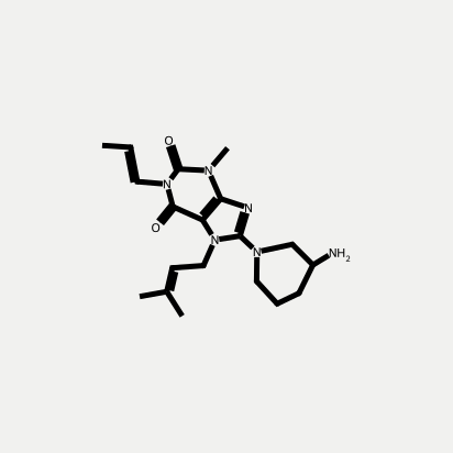 CC=Cn1c(=O)c2c(nc(N3CCCC(N)C3)n2CC=C(C)C)n(C)c1=O